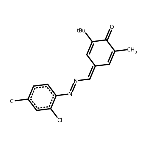 CC1=CC(=CN=Nc2ccc(Cl)cc2Cl)C=C(C(C)(C)C)C1=O